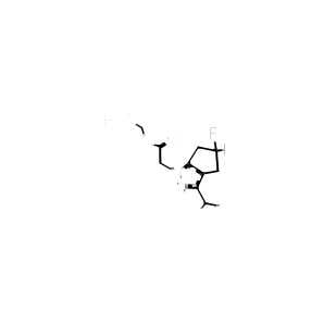 CCOC(=O)Cn1nc(C(F)F)c2c1CC(F)(F)C2